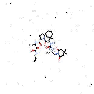 C=CCNC(=O)C(=O)C(CCCC)NC(=O)[C@@H]1CCCN1C(=O)[C@@H](NC(=O)N[C@H](CN1C(=O)CC(C)(C)CC1=O)C(C)(C)C)C1(C)CCCCC1